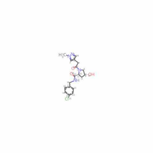 Cn1cc(CC(=O)N2C[C@H](O)C[C@H]2C(=O)NCc2ccc(Cl)cc2)cn1